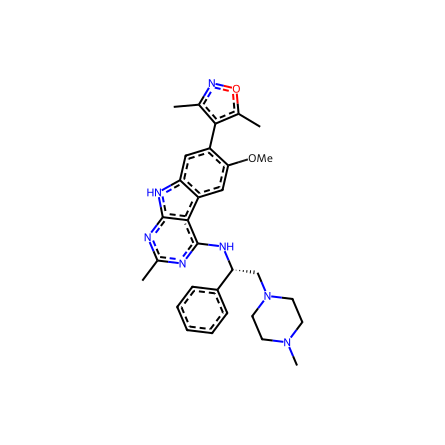 COc1cc2c(cc1-c1c(C)noc1C)[nH]c1nc(C)nc(N[C@H](CN3CCN(C)CC3)c3ccccc3)c12